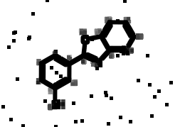 Sc1cccc(-c2nc3ncccc3o2)c1